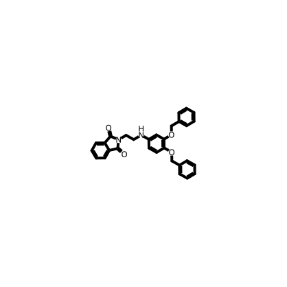 O=C1c2ccccc2C(=O)N1CCNc1ccc(OCc2ccccc2)c(OCc2ccccc2)c1